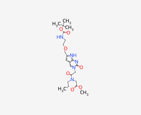 CCCN(CC(=O)OC)C(=O)Cn1cc2cc(COCCNC(=O)OC(C)(C)C)[nH]c2nc1=O